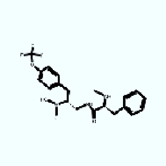 CN[C@@H](Cc1ccccc1)C(=O)NC[C@@H](Cc1ccc(OC(F)(F)F)cc1)B(O)O